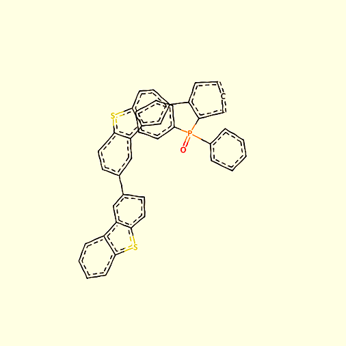 O=P(c1ccccc1)(c1ccccc1)c1ccccc1-c1ccc2sc3ccc(-c4ccc5sc6ccccc6c5c4)cc3c2c1